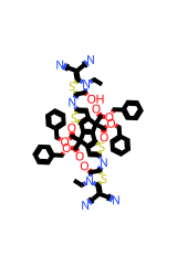 CCN1C(=O)/C(=N\c2cc3c(s2)C2=C(c4sc(/N=C5/SC(=C(C#N)C#N)N(CC)C5O)cc4C2(C(=O)OCc2ccccc2)C(=O)OCc2ccccc2)C3(C(=O)OCc2ccccc2)C(=O)OCc2ccccc2)SC1=C(C#N)C#N